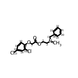 CN(CCOC(=O)COc1ccc(Cl)cc1Cl)Cc1ccccc1